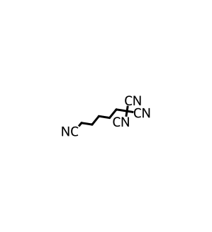 N#CCCCCCC(C#N)(C#N)C#N